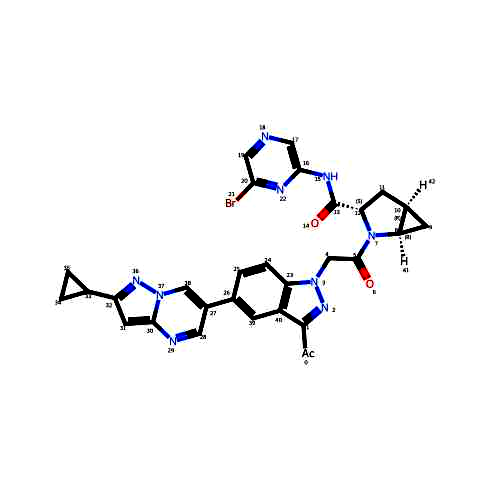 CC(=O)c1nn(CC(=O)N2[C@@H]3C[C@@H]3C[C@H]2C(=O)Nc2cncc(Br)n2)c2ccc(-c3cnc4cc(C5CC5)nn4c3)cc12